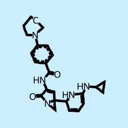 O=C(NC1=CC2(C3C=CC=C(NC4CC4)N3)CN2C1=O)c1ccc(N2CCCCC2)cc1